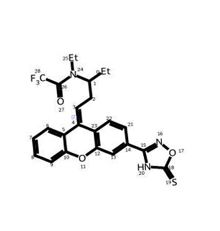 CCC(C/C=C1/c2ccccc2Oc2cc(-c3noc(=S)[nH]3)ccc21)N(CC)C(=O)C(F)(F)F